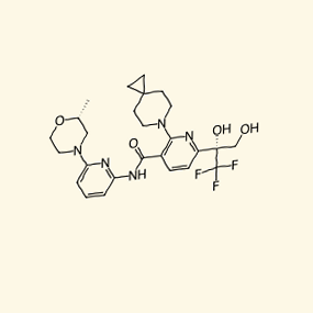 C[C@@H]1CN(c2cccc(NC(=O)c3ccc([C@@](O)(CO)C(F)(F)F)nc3N3CCC4(CC3)CC4)n2)CCO1